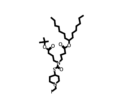 CCCCCCCC(CCCCCCC)OC(=O)CCCN(CCCC(=O)OC(C)(C)C)C(=O)SC1CCN(CI)CC1